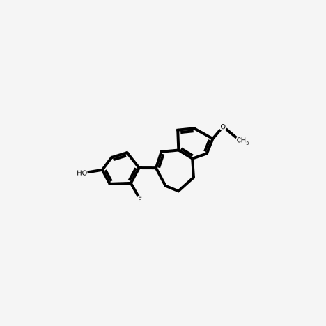 COc1ccc2c(c1)CCCC(c1ccc(O)cc1F)=C2